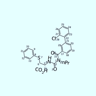 CCCN(C(=O)N[C@@H](CSc1ccccc1)C(=O)O)C(=O)c1cccc(-c2ccccc2Cl)c1